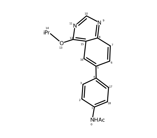 CC(=O)Nc1ccc(-c2ccc3ncnc(OC(C)C)c3c2)cc1